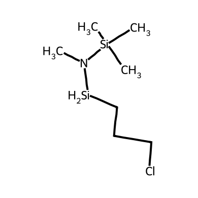 CN([SiH2]CCCCl)[Si](C)(C)C